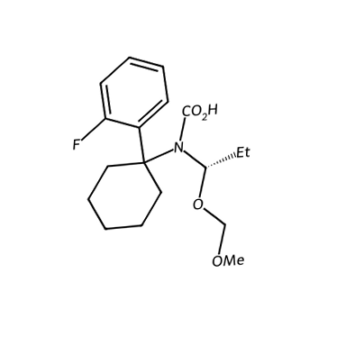 CC[C@H](OCOC)N(C(=O)O)C1(c2ccccc2F)CCCCC1